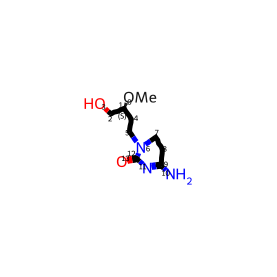 CO[C@H](CO)CCN1CCC(N)=NC1=O